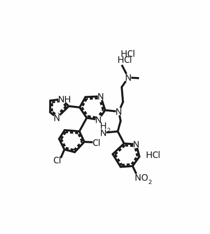 CN(C)CCN(CC(N)c1ccc([N+](=O)[O-])cn1)c1ncc(-c2ncc[nH]2)c(-c2ccc(Cl)cc2Cl)n1.Cl.Cl.Cl